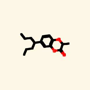 CCCC(CCC)c1ccc2c(c1)OC(=O)C(C)O2